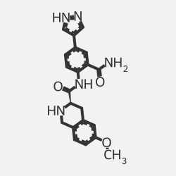 COc1ccc2c(c1)C[C@H](C(=O)Nc1ccc(-c3cn[nH]c3)cc1C(N)=O)NC2